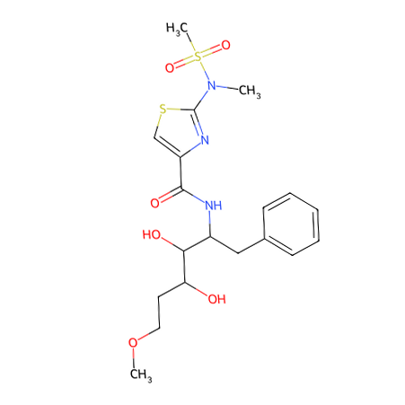 COCCC(O)C(O)C(Cc1ccccc1)NC(=O)c1csc(N(C)S(C)(=O)=O)n1